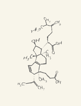 C=C(CC[C@@H](C(=O)O)[C@H]1[C@H](O)C[C@@]2(C)C3=C(CC[C@]12C)[C@@](C)(CCC(=O)O)[C@H](C(=C)C)C=C3)C(C)C